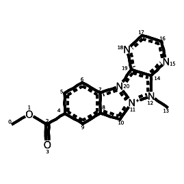 COC(=O)c1ccc2c(c1)c[n+]1n(C)c3nccnc3n21